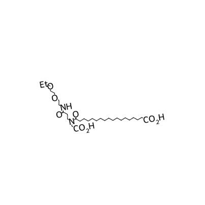 CCOCCOCCNC(=O)CCN(CC(=O)O)C(=O)CCCCCCCCCCCCCCCCC(=O)O